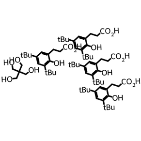 CC(C)(C)c1cc(CCC(=O)O)c(O)c(C(C)(C)C)c1.CC(C)(C)c1cc(CCC(=O)O)c(O)c(C(C)(C)C)c1.CC(C)(C)c1cc(CCC(=O)O)c(O)c(C(C)(C)C)c1.CC(C)(C)c1cc(CCC(=O)O)c(O)c(C(C)(C)C)c1.OCC(CO)(CO)CO